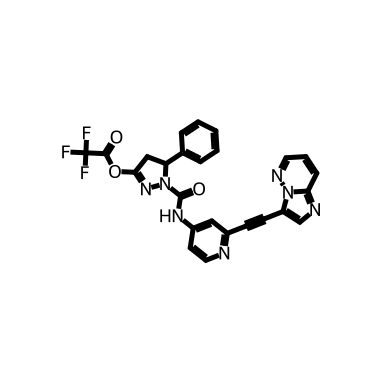 O=C(Nc1ccnc(C#Cc2cnc3cccnn23)c1)N1N=C(OC(=O)C(F)(F)F)CC1c1ccccc1